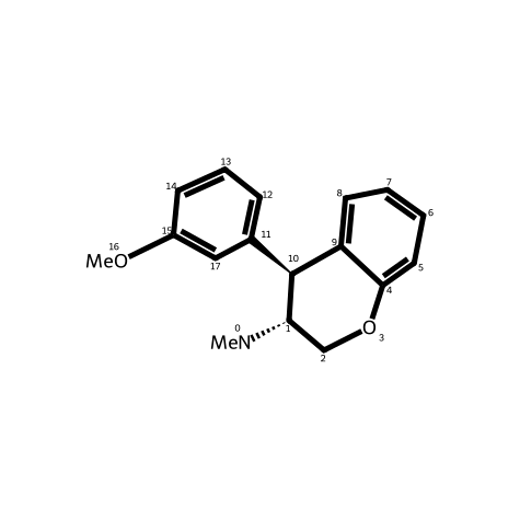 CN[C@H]1COc2ccccc2[C@@H]1c1cccc(OC)c1